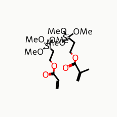 C=C(C)C(=O)OCC[Si](OC)(OC)OC.C=CC(=O)OCC[Si](OC)(OC)OC